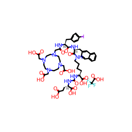 O=C(O)C(F)(F)F.O=C(O)CC[C@H](NC(=O)N[C@@H](CCCCNC(=O)[C@H](Cc1ccc2ccccc2c1)NC(=O)[C@H](Cc1ccc(I)cc1)NC(=O)CN1CCN(CC(=O)O)CCN(CC(=O)O)CCN(CC(=O)O)CC1)C(=O)O)C(=O)O